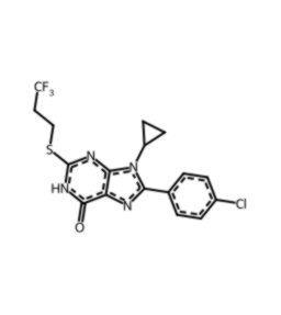 O=c1[nH]c(SCCC(F)(F)F)nc2c1nc(-c1ccc(Cl)cc1)n2C1CC1